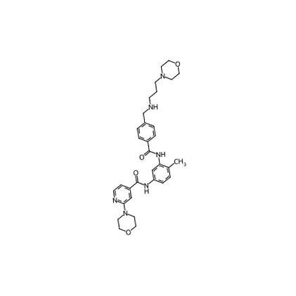 Cc1ccc(NC(=O)c2ccnc(N3CCOCC3)c2)cc1NC(=O)c1ccc(CNCCCN2CCOCC2)cc1